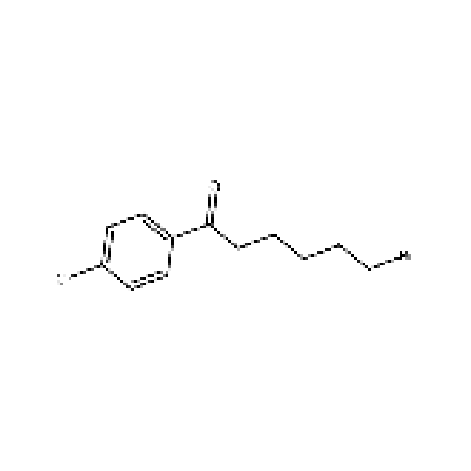 O=C(CCCCCBr)c1ccc(Cl)cc1